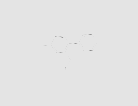 NCc1[c]c(F)ccc1-c1ccccc1